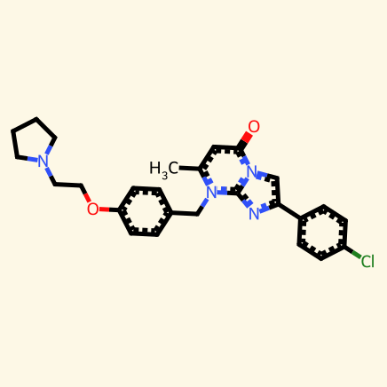 Cc1cc(=O)n2cc(-c3ccc(Cl)cc3)nc2n1Cc1ccc(OCCN2CCCC2)cc1